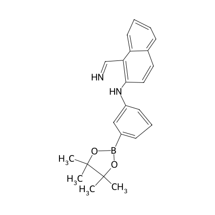 CC1(C)OB(c2cccc(Nc3ccc4ccccc4c3C=N)c2)OC1(C)C